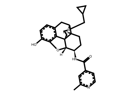 Cc1cc(C(=O)N[C@@H]2CCC3(O)C4Cc5ccc(O)c6c5[C@@]3(CCN4CC3CC3)[C@H]2O6)ccn1